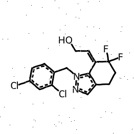 OC/C=C1\c2c(cnn2Cc2ccc(Cl)cc2Cl)CCC1(F)F